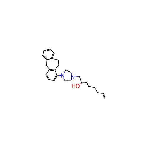 C=CCCCCC(O)CN1CCN(c2cccc3c2CCc2ccccc2C3)CC1